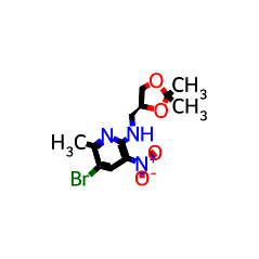 Cc1nc(NC[C@H]2COC(C)(C)O2)c([N+](=O)[O-])cc1Br